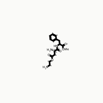 COC(=O)C(Cc1ccccc1)NC(=O)[C@@H](N)CC(=O)OCCN